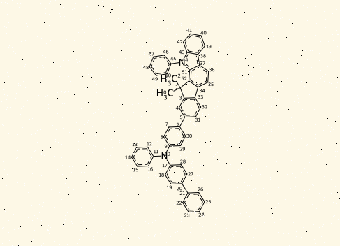 CC1(C)c2cc(-c3ccc(N(c4ccccc4)c4ccc(-c5ccccc5)cc4)cc3)ccc2-c2ccc3c4ccccc4n(-c4ccccc4)c3c21